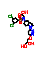 O=C(O)CN(c1ccc2c(ccn2-c2ccc(OCC(O)CO)nn2)c1)S(=O)(=O)C1C=C(Cl)C=C(Cl)C1